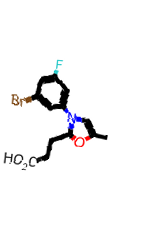 CC1=CN(c2cc(F)cc(Br)c2)C(CCC(=O)O)O1